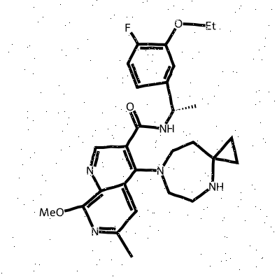 CCOc1cc([C@H](C)NC(=O)c2cnc3c(OC)nc(C)cc3c2N2CCNC3(CC2)CC3)ccc1F